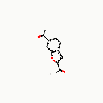 COC(=O)c1ccc2cc(C(=O)OC)oc2c1